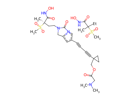 CCC(C)(C(=O)NO)S(C)(=O)=O.CN(C)CC(=O)OCC1(C#CC#Cc2cc3n(c2)C(=O)N(CC[C@](C)(C(=O)NO)S(C)(=O)=O)C3)CC1